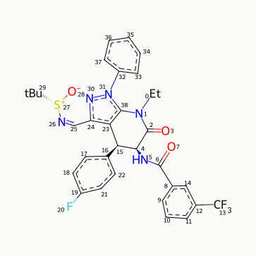 CCN1C(=O)[C@@H](NC(=O)c2cccc(C(F)(F)F)c2)[C@@H](c2ccc(F)cc2)c2c(/C=N\[S@@+]([O-])C(C)(C)C)nn(-c3ccccc3)c21